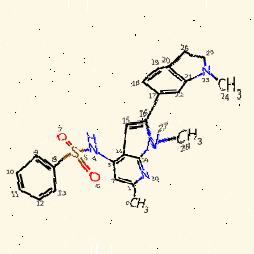 Cc1cc(NS(=O)(=O)c2ccccc2)c2cc(-c3ccc4c(c3)N(C)CC4)n(C)c2n1